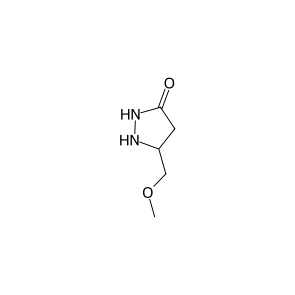 COCC1CC(=O)NN1